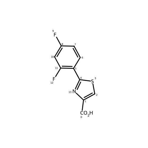 O=C(O)c1csc(-c2ccc(F)cc2F)n1